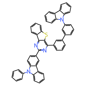 c1ccc(-n2c3ccccc3c3cc(-c4nc(-c5cccc(-c6cccc(-n7c8ccccc8c8ccccc87)c6)c5)c5sc6ccccc6c5n4)ccc32)cc1